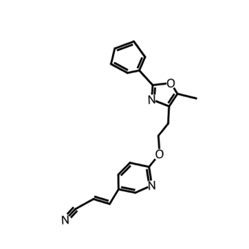 Cc1oc(-c2ccccc2)nc1CCOc1ccc(C=CC#N)cn1